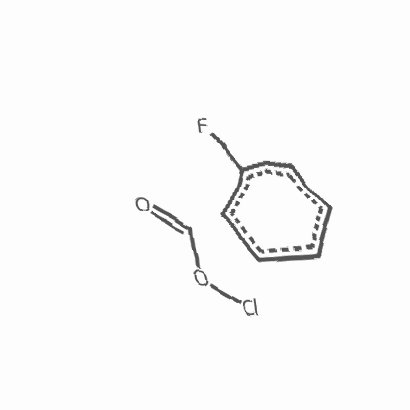 Fc1ccccc1.O=COCl